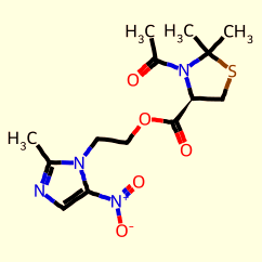 CC(=O)N1[C@H](C(=O)OCCn2c([N+](=O)[O-])cnc2C)CSC1(C)C